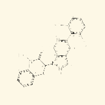 O=C(NO)C(Cc1ccccc1)n1ncc2cc(-c3c(F)cccc3F)ncc21